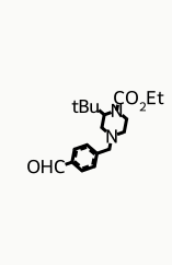 CCOC(=O)N1CCN(Cc2ccc(C=O)cc2)CC1C(C)(C)C